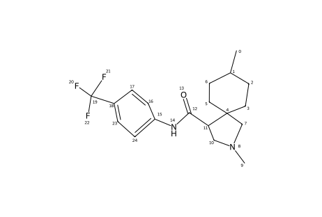 CC1CCC2(CC1)CN(C)CC2C(=O)Nc1ccc(C(F)(F)F)cc1